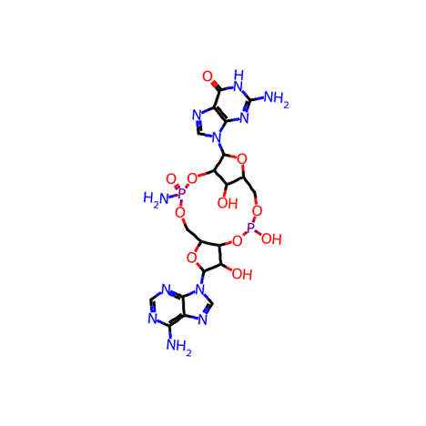 Nc1nc2c(ncn2C2OC3COP(O)OC4C(COP(N)(=O)OC2C3O)OC(n2cnc3c(N)ncnc32)C4O)c(=O)[nH]1